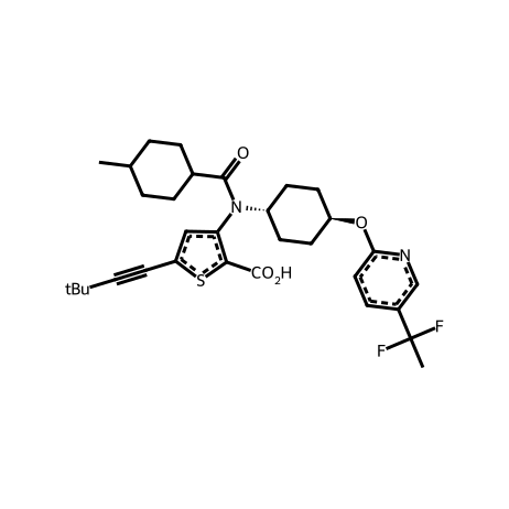 CC1CCC(C(=O)N(c2cc(C#CC(C)(C)C)sc2C(=O)O)[C@H]2CC[C@H](Oc3ccc(C(C)(F)F)cn3)CC2)CC1